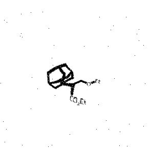 CCOCC(C(=O)OCC)C12CC3CC(CC(C3)C1)C2